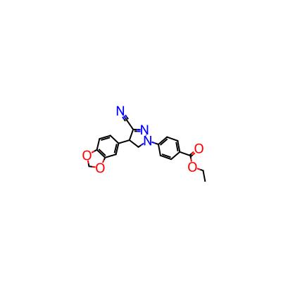 CCOC(=O)c1ccc(N2CC(c3ccc4c(c3)OCO4)C(C#N)=N2)cc1